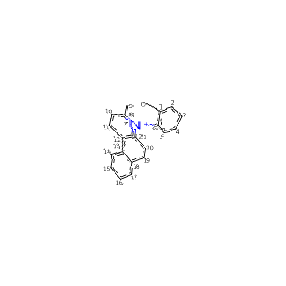 Cc1ccccc1-[n+]1c(C)ccc2c3ccccc3ccc21